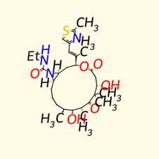 CCNC(=O)N1[C@@H]2CCC[C@H](C)[C@H](O)[C@@H](C)C(=O)C(C)(C)[C@@H](O)CC(=O)O[C@H](C(C)=Cc3csc(C)n3)C[C@@H]21